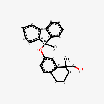 CC1(CO)CCCc2ccc(O[Si](c3ccccc3)(c3ccccc3)C(C)(C)C)cc21